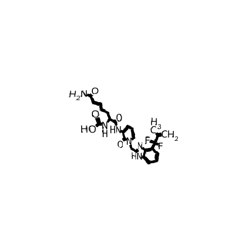 C=C(C)C(F)(F)c1cccc2[nH]c(Cn3cccc(NC(=O)C(CCC=CC(N)=O)NC(=O)O)c3=O)nc12